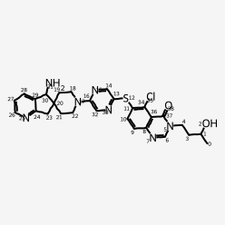 CC(O)CCn1cnc2ccc(Sc3cnc(N4CCC5(CC4)Cc4ncccc4C5N)cn3)c(Cl)c2c1=O